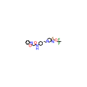 CC(F)(F)COc1nc2c(s1)CCN(CC[C@H]1CC[C@H](NC(=O)Cc3nc4ccccc4o3)CC1)C2